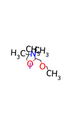 CCOCC1=[N+](C)C(C)(C)CO1.[I-]